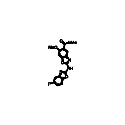 CNC(=O)c1cc2nc(Nc3nc4cc(F)ccc4o3)oc2cc1OC